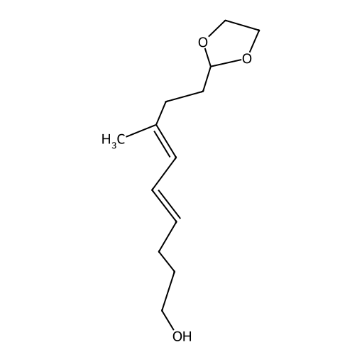 CC(=CC=CCCCO)CCC1OCCO1